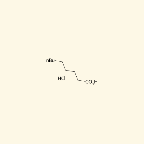 CCCCCCCCC(=O)O.Cl